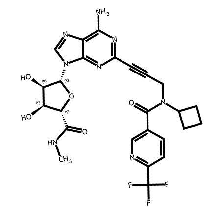 CNC(=O)[C@H]1O[C@@H](n2cnc3c(N)nc(C#CCN(C(=O)c4ccc(C(F)(F)F)nc4)C4CCC4)nc32)[C@H](O)[C@@H]1O